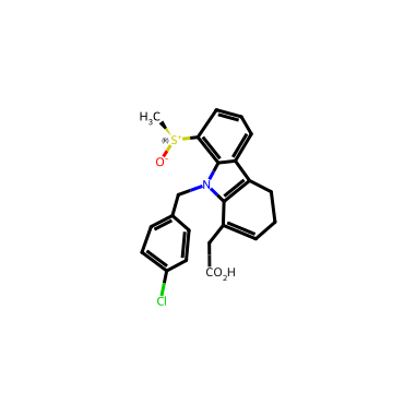 C[S@+]([O-])c1cccc2c3c(n(Cc4ccc(Cl)cc4)c12)C(CC(=O)O)=CCC3